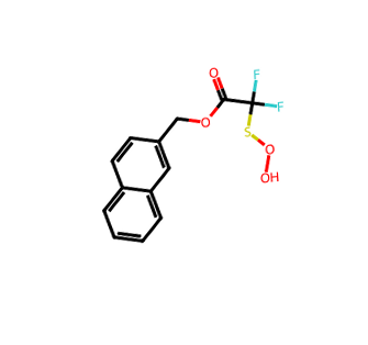 O=C(OCc1ccc2ccccc2c1)C(F)(F)SOO